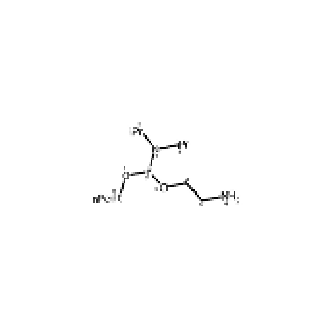 CCCCCOP(OCCN)N(C(C)C)C(C)C